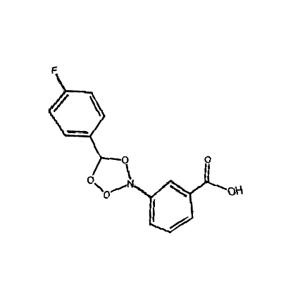 O=C(O)c1cccc(N2OOC(c3ccc(F)cc3)O2)c1